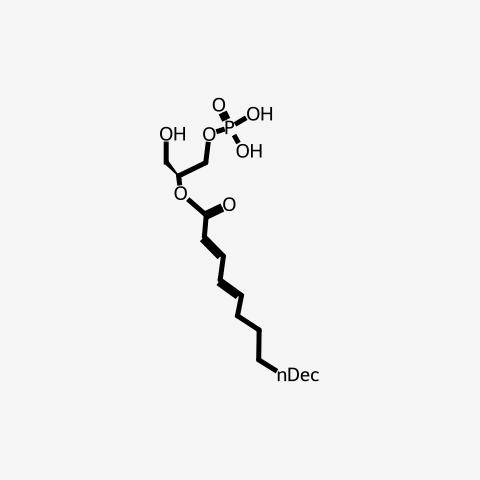 CCCCCCCCCCCCCC=CC=CC(=O)O[C@@H](CO)COP(=O)(O)O